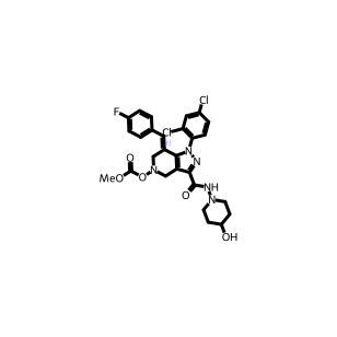 COC(=O)ON1C/C(=C\c2ccc(F)cc2)c2c(c(C(=O)NN3CCC(O)CC3)nn2-c2ccc(Cl)cc2Cl)C1